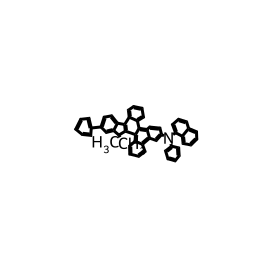 CC1(C)c2cc(-c3ccccc3)ccc2-c2c1c1c3ccccc3c3cc(N(c4ccccc4)c4cccc5ccccc45)ccc3c1c1ccccc21